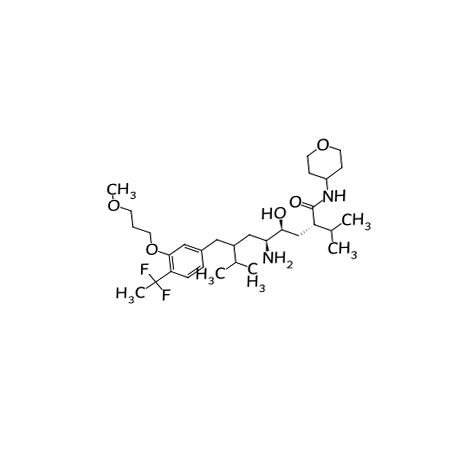 COCCCOc1cc(CC(C[C@H](N)[C@@H](O)C[C@H](C(=O)NC2CCOCC2)C(C)C)C(C)C)ccc1C(C)(F)F